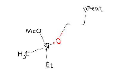 CCCCCCCO[Si](C)(CC)OC